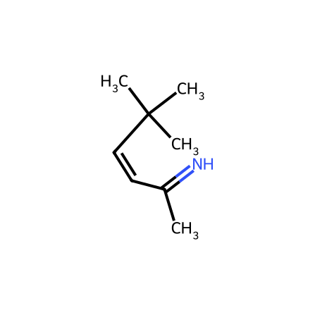 CC(=N)/C=C\C(C)(C)C